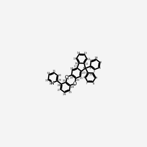 c1ccc(C2(c3ccccc3)c3ccccc3-c3cc4c(cc32)Oc2cccc(-c3ccccn3)c2O4)cc1